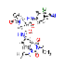 CCn1c(=O)c2cc(NC(=O)[C@@H]3CN(C(C)=O)C[C@@H]3C(=O)Nc3ccc(C#N)c(Cl)c3)ccc2n(CC)c1=O